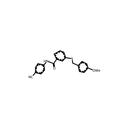 COc1ccc(CSc2cccc(C(=O)Nc3ccc(C#N)cc3)c2)cc1